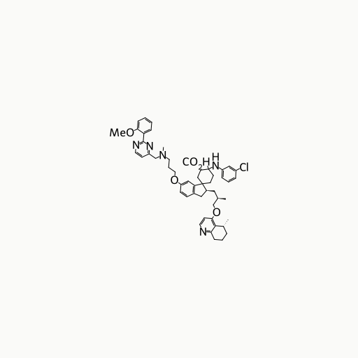 COc1ccccc1-c1nccc(CN(C)CCCOc2ccc3c(c2)C2(CCC(Nc4cccc(Cl)c4)(C(=O)O)CC2)[C@@H](C[C@@H](C)COc2ccnc4c2[C@H](C)CCC4)C3)n1